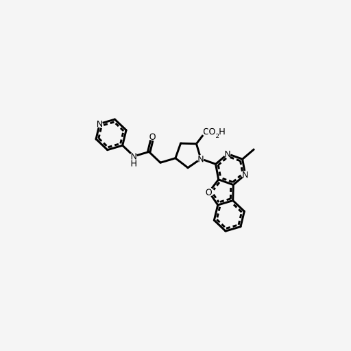 Cc1nc(N2CC(CC(=O)Nc3ccncc3)CC2C(=O)O)c2oc3ccccc3c2n1